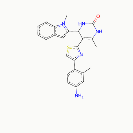 CC1=C(c2nc(-c3ccc(N)cc3C)cs2)C(c2cc3ccccc3n2C)NC(=O)N1